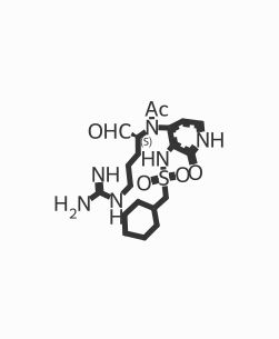 CC(=O)N(c1cc[nH]c(=O)c1NS(=O)(=O)CC1CCCCC1)[C@H](C=O)CCCNC(=N)N